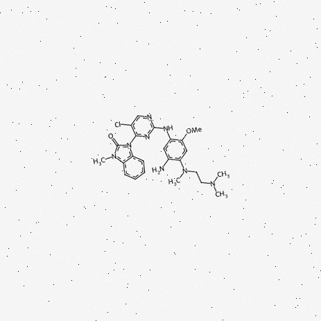 COc1cc(N(C)CCN(C)C)c(N)cc1Nc1ncc(Cl)c(-n2c(=O)n(C)c3ccccc32)n1